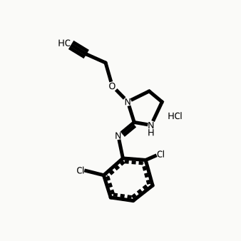 C#CCON1CCN/C1=N\c1c(Cl)cccc1Cl.Cl